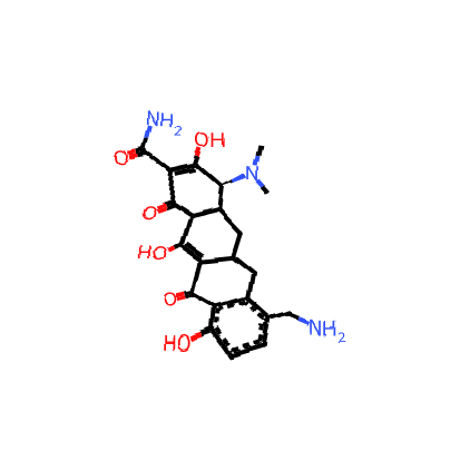 CN(C)[C@@H]1C(O)=C(C(N)=O)C(=O)C2C(O)=C3C(=O)c4c(O)ccc(CN)c4CC3CC21